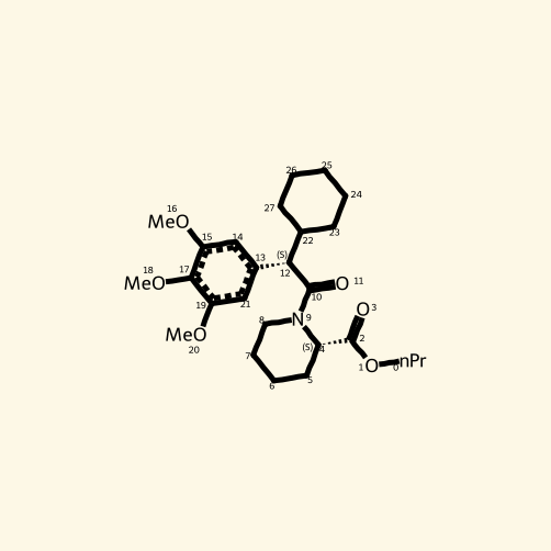 CCCOC(=O)[C@@H]1CCCCN1C(=O)[C@H](c1cc(OC)c(OC)c(OC)c1)C1CCCCC1